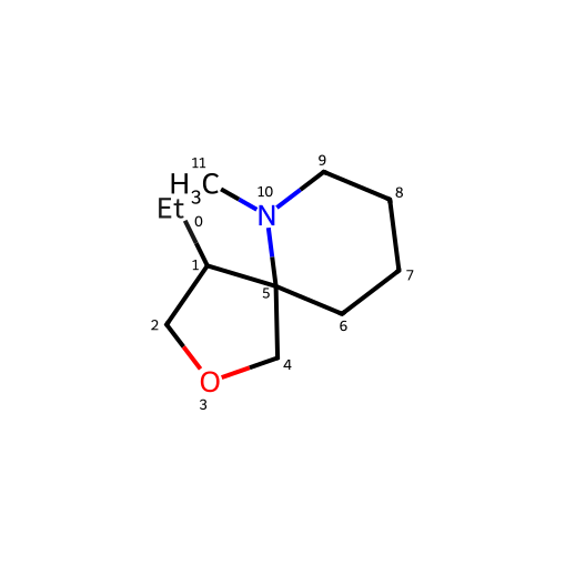 CCC1COCC12CCCCN2C